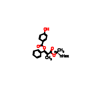 CCCCCC[C@@H](C)OC(=O)C(C)=C(OC(=O)c1ccc(O)cc1)c1ccccc1